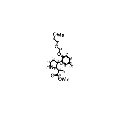 COCCOCOc1ccc(I)cc1C1CCNC1C(C)C(=O)OC